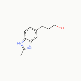 Cc1nc2cc(CCCO)ccc2[nH]1